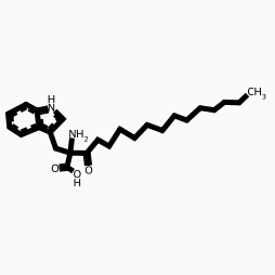 CCCCCCCCCCCCCC(=O)C(N)(Cc1c[nH]c2ccccc12)C(=O)O